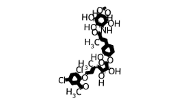 CC(=O)c1cc(Cl)cc(Cl)c1OCC=C(C)[C@H]1O[C@@H](Oc2ccc(C=C(C)C(=O)N[C@@H]3[C@H](O)[C@@H](O)[C@H]4OCO[C@H]4[C@@H]3O)cc2O)[C@@H](O)[C@@H]1O